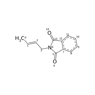 CC=CCN1C(=O)c2ccccc2C1=O